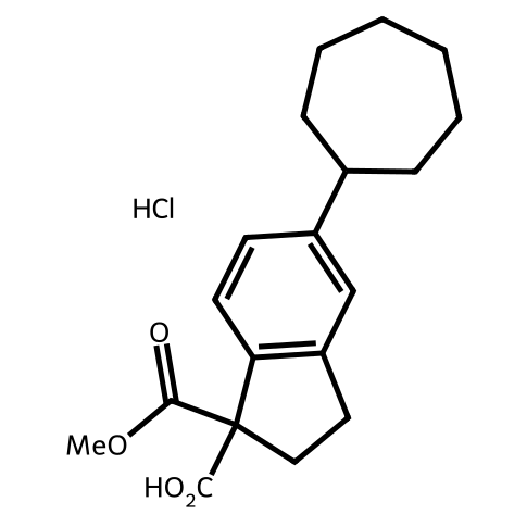 COC(=O)C1(C(=O)O)CCc2cc(C3CCCCCC3)ccc21.Cl